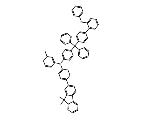 CC1C=C(N(C2=CC=C(c3ccc4c(c3)C(C)(C)c3ccccc3-4)CC2)c2ccc(C(c3ccccc3)(c3ccccc3)c3ccc(-c4ccccc4Nc4ccccc4)cc3)cc2)C=CC1